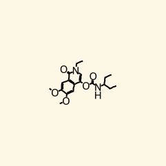 CCC(CC)NC(=O)Oc1cn(CC)c(=O)c2cc(OC)c(OC)cc12